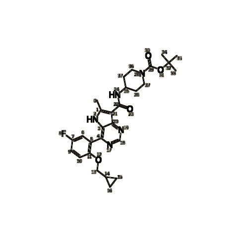 Cc1[nH]c2c(-c3cc(F)ccc3OCC3CC3)ncnc2c1C(=O)NC1CCN(C(=O)OC(C)(C)C)CC1